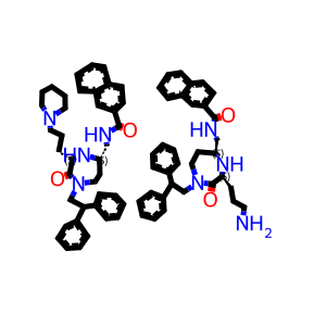 NCCC[C@@H]1N[C@H](CNC(=O)c2ccc3ccccc3c2)CCN(CC(c2ccccc2)c2ccccc2)C1=O.O=C(NC[C@@H]1CCN(CC(c2ccccc2)c2ccccc2)C(=O)[C@H](CCCN2CCCCC2)N1)c1ccc2ccccc2c1